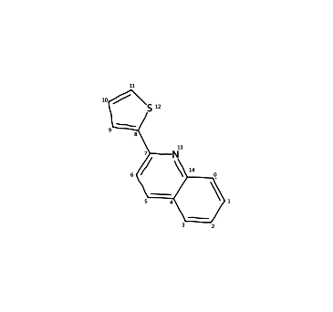 [c]1cccc2ccc(-c3cccs3)nc12